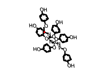 Oc1ccc(OCCN=P(N=P(/N=P/Oc2ccc(O)cc2)(Oc2ccc(O)cc2)Oc2ccc(O)cc2)(Oc2ccc(O)cc2)Oc2ccc(O)cc2)cc1